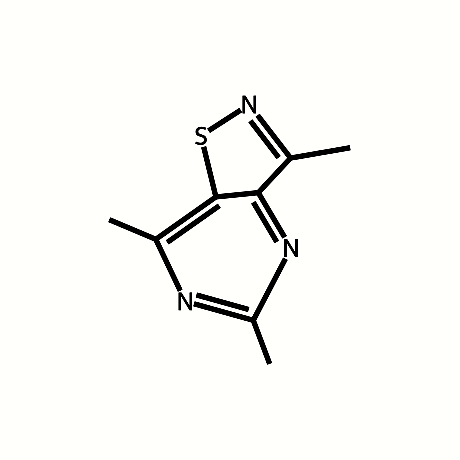 Cc1nc(C)c2snc(C)c2n1